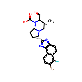 C[C@H](CN1CCC[C@H]1c1nc2ccc3c(F)c(Br)ccc3c2[nH]1)C(C=O)NC(=O)O